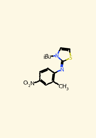 CCC(C)n1ccsc1=Nc1ccc([N+](=O)[O-])cc1C